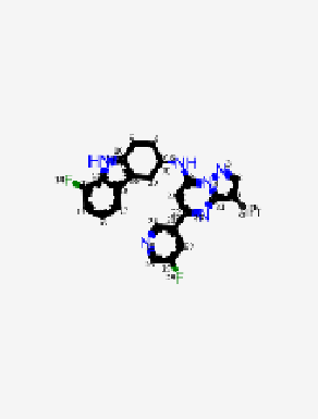 CC(C)c1cnn2c(N[C@@H]3CCc4[nH]c5c(F)cccc5c4C3)cc(-c3cncc(F)c3)nc12